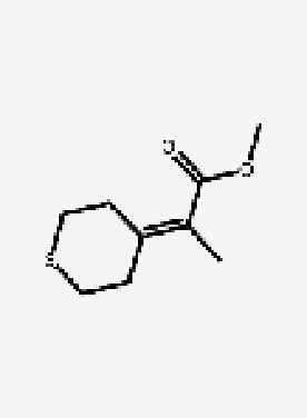 COC(=O)C(C)=C1CCSCC1